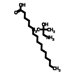 CC(C)(O)CN.CCCCCCCCCCCCCCCC(=O)O